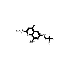 CCOC(=O)c1cc(C)c2cc(OCC(C)(F)F)cc(C(C)(C)C)c2n1